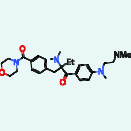 CCC(Cc1ccc(C(=O)N2CCOCC2)cc1)(C(=O)c1ccc(N(C)CCNC)cc1)N(C)C